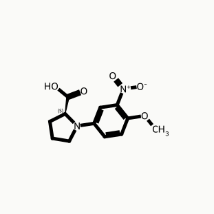 COc1ccc(N2CCC[C@H]2C(=O)O)cc1[N+](=O)[O-]